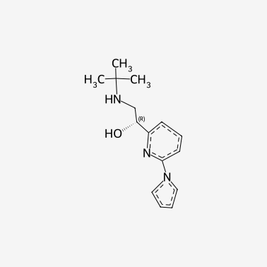 CC(C)(C)NC[C@@H](O)c1cccc(-n2cccc2)n1